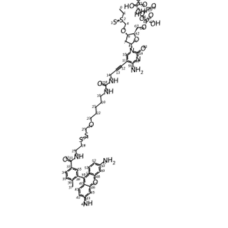 CCS(=S)CO[C@@H]1C[C@H](n2cc(C#CCNC(=O)NCCCCCOCSSCCNC(=O)c3ccc(C)c(-c4c5ccc(=N)cc-5oc5cc(N)ccc45)c3)c(N)nc2=O)O[C@@H]1COP(=O)(O)OP(=O)(O)OP(=O)(O)O